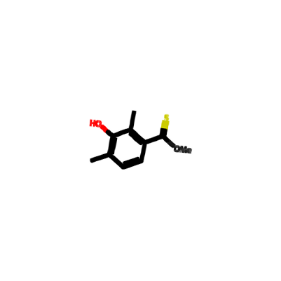 COC(=S)c1ccc(C)c(O)c1C